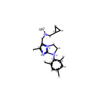 CCCN(Cc1c(C)nc2n1CCN2c1c(C)cc(C)cc1C)CC1CC1